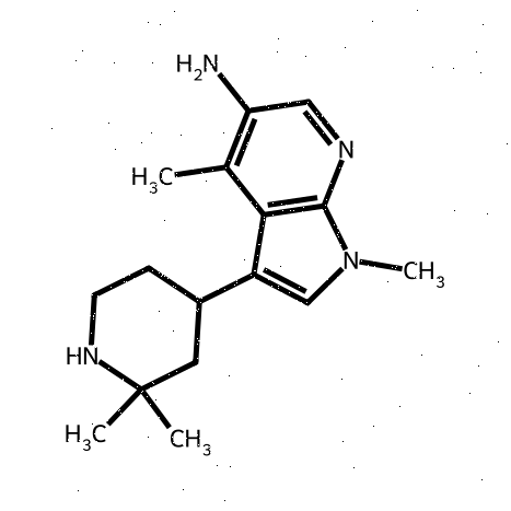 Cc1c(N)cnc2c1c(C1CCNC(C)(C)C1)cn2C